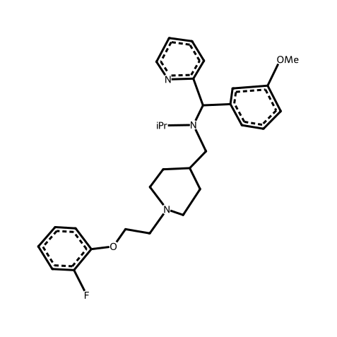 COc1cccc(C(c2ccccn2)N(CC2CCN(CCOc3ccccc3F)CC2)C(C)C)c1